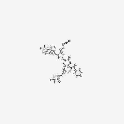 CC(C)(C)[Si](C)(C)OCC1OC(n2cc(C#CCNC(=O)C(F)(F)F)c(N(N)C(=O)c3ccccc3)nc2=O)CC1OCN=[N+]=[N-]